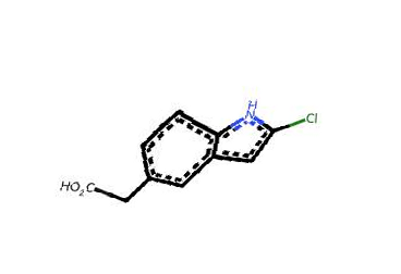 O=C(O)Cc1ccc2[nH]c(Cl)cc2c1